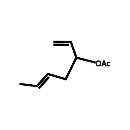 C=CC(CC=CC)OC(C)=O